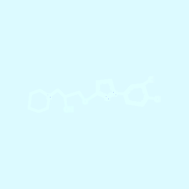 OC(COc1ccn(-c2ccc(Cl)c(Cl)c2)n1)CN1CCCCC1